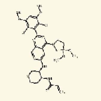 C=CC(=O)N[C@H]1CCOC[C@H]1Nc1cc2c(N3CCC(OC)(OC)C3)nc(-c3c(Cl)c(OC)cc(OC)c3Cl)nc2cn1